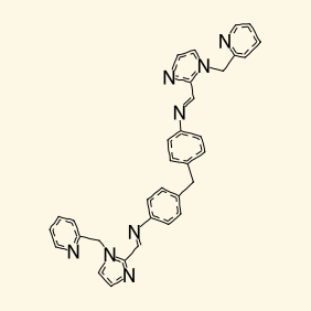 C(=N\c1ccc(Cc2ccc(/N=C/c3nccn3Cc3ccccn3)cc2)cc1)/c1nccn1Cc1ccccn1